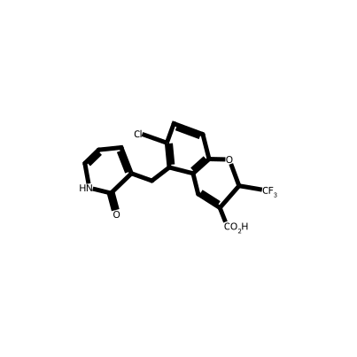 O=C(O)C1=Cc2c(ccc(Cl)c2Cc2ccc[nH]c2=O)OC1C(F)(F)F